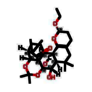 CCO[C@@H]1CCC2=C(O1)[C@@]13CO[C@]4(OC(C)(C)O[C@@H]5[C@H]6CC[C@@H]1[C@]54C(=O)C6(C)C)[C@@H](O)[C@@H]3C(C)(C)C2